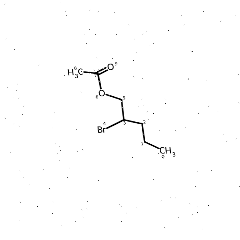 CCCC(Br)COC(C)=O